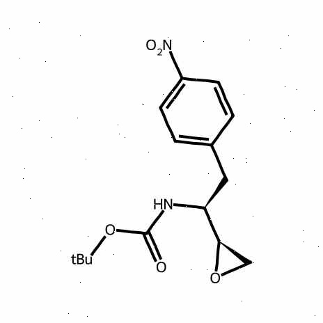 CC(C)(C)OC(=O)N[C@@H](Cc1ccc([N+](=O)[O-])cc1)[C@H]1CO1